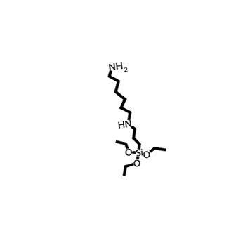 CCO[Si](CCCNCCCCCCN)(OCC)OCC